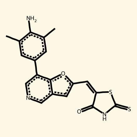 Cc1cc(-c2cncc3cc(C=C4SC(=S)NC4=O)oc23)cc(C)c1N